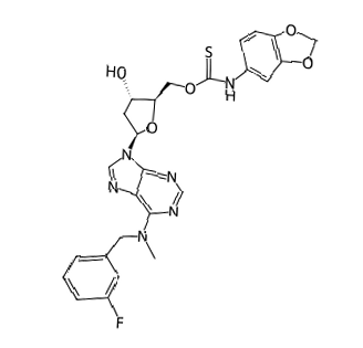 CN(Cc1cccc(F)c1)c1ncnc2c1ncn2[C@H]1C[C@H](O)[C@@H](COC(=S)Nc2ccc3c(c2)OCO3)O1